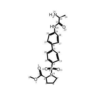 COC(=O)[C@@H]1CCCN1S(=O)(=O)c1ccc(-c2ccc(NC(=O)[C@H](C)N)cc2)cc1